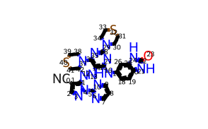 N#Cc1cnn(-c2ncccn2)c1/N=N/c1c(Nc2ccc3[nH]c(=O)[nH]c3c2)nc(N2CCSCC2)nc1N1CCSCC1